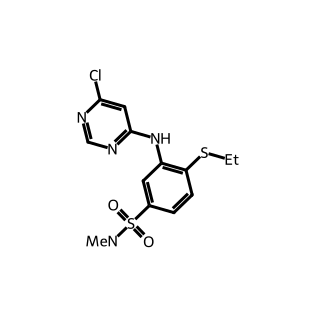 CCSc1ccc(S(=O)(=O)NC)cc1Nc1cc(Cl)ncn1